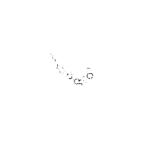 CCCCOCC(=O)N1CCN(c2ncc(-c3c(F)cc4c(=O)n(C)n(Cc5ccccc5OC(F)F)c4c3F)cn2)C[C@H]1C